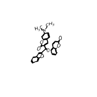 CCN(CC)c1ccc2cc(C(=O)c3cc4ccccc4o3)c(=O)oc2c1.O=c1ccc2ccccc2o1